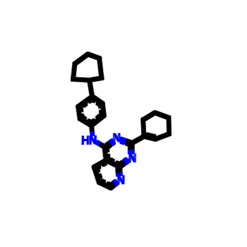 C1=C(c2nc(Nc3ccc(C4CCCCC4)cc3)c3cccnc3n2)CCCC1